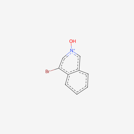 O[n+]1cc(Br)c2ccccc2c1